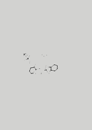 CCC12OCC(COc3ccnc(C[S+]([O-])c4nc5ccccc5[nH]4)c3C)(CO1)CO2.[Na]